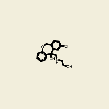 OCCNCC1(O)c2cc(Cl)ccc2COc2ccccc21